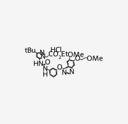 CCOC(=O)Cn1nc(C(C)(C)C)cc1NC(=O)Nc1cccc(Oc2ncnc3cc(OCCOC)c(OC)cc23)c1.Cl